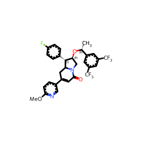 COc1ccc(C2=CC(=O)N3C[C@H](O[C@H](C)c4cc(C(F)(F)F)cc(C(F)(F)F)c4)[C@@H](c4ccc(F)cc4)C3C2)cn1